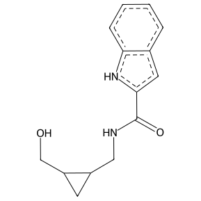 O=C(NCC1CC1CO)c1cc2ccccc2[nH]1